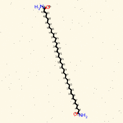 NC(=O)CCCCCCCCCCCCCCCCCCCCCCCCCCCCCCCCCCCCCCCCC(N)=O